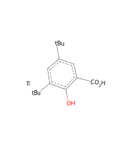 CC(C)(C)c1cc(C(=O)O)c(O)c(C(C)(C)C)c1.[Ti]